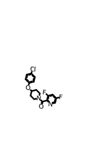 O=C(c1ncc(F)cc1F)N1CCC(Oc2ccc(Cl)cc2)CC1